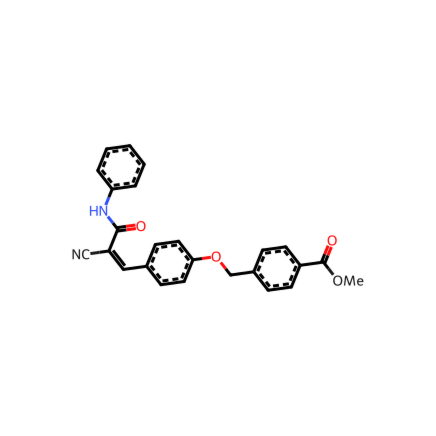 COC(=O)c1ccc(COc2ccc(C=C(C#N)C(=O)Nc3ccccc3)cc2)cc1